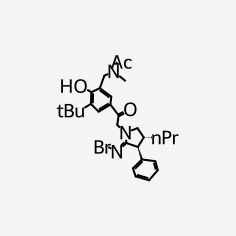 CCC[C@H]1CN(CC(=O)c2cc(CN(C)C(C)=O)c(O)c(C(C)(C)C)c2)/C(=N\Br)[C@@H]1c1ccccc1